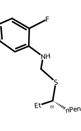 CCCCC[C@H](CC)SCNc1ccccc1F